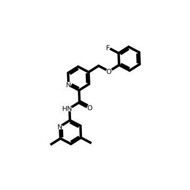 Cc1cc(C)nc(NC(=O)c2cc(COc3ccccc3F)ccn2)c1